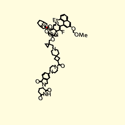 CCc1cccc2cc(OCOC)cc(-c3ncc4c(N5CC6CCC(C5)N6C(=O)OC(C)(C)C)nc(OCC5(CN6CCC7(CC6)CC(C(=O)N6CCN(c8ccc9c(c8)CN([C@H]8CCC(=O)NC8=O)C9=O)CC6)C7)CC5)nc4c3F)c12